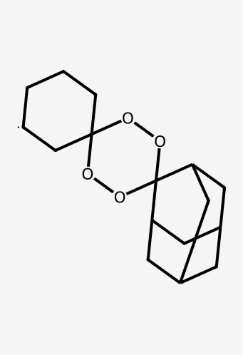 [CH]1CCCC2(C1)OOC1(OO2)C2CC3CC(C2)CC1C3